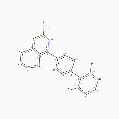 Bc1cc2ccccc2c(-c2ccc(-c3c(C)cccc3C)cc2)n1